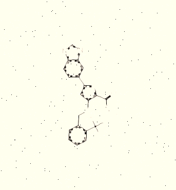 NC(=O)c1sc(-c2ccc3[nH]cnc3c2)cc1OCc1ccccc1C(F)(F)F